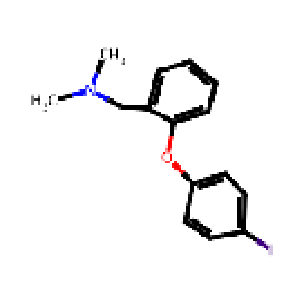 CN(C)Cc1ccccc1Oc1ccc(I)cc1